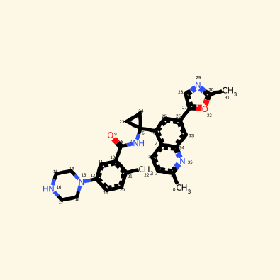 Cc1ccc2c(C3(NC(=O)c4cc(N5CCNCC5)ccc4C)CC3)cc(-c3cnc(C)o3)cc2n1